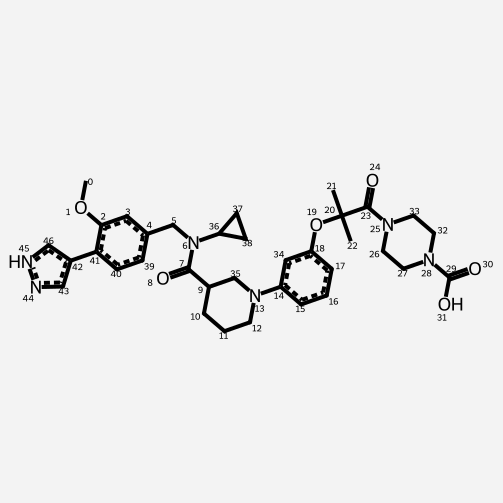 COc1cc(CN(C(=O)C2CCCN(c3cccc(OC(C)(C)C(=O)N4CCN(C(=O)O)CC4)c3)C2)C2CC2)ccc1-c1cn[nH]c1